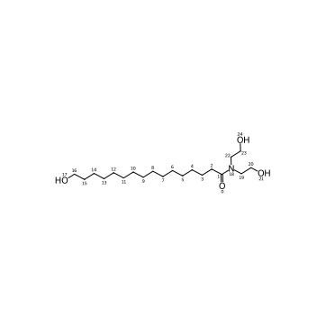 O=C(CCCCCCCCCCCCCCCO)N(CCO)CCO